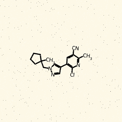 Cc1nc(Cl)c(-c2cnn(CC3(C)CCCC3)c2)cc1C#N